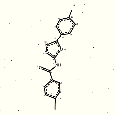 Cc1ccc(C(=O)Nc2nnc(-c3ccc(F)cc3)o2)cc1